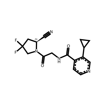 N#C[C@@H]1CC(F)(F)CN1C(=O)CNC(=O)c1ccncc1C1CC1